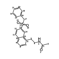 CC(=O)NCCc1cccc2ccc(S(=O)(=O)Cc3ccccc3)cc12